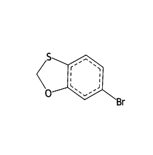 Brc1ccc2c(c1)OCS2